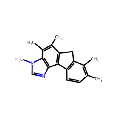 Cc1ccc2c(c1C)Cc1c(C)c(C)c3c(ncn3C)c1-2